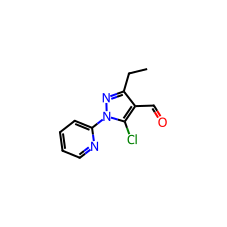 CCc1nn(-c2ccccn2)c(Cl)c1C=O